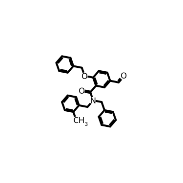 Cc1ccccc1CN(Cc1ccccc1)C(=O)c1cc(C=O)ccc1OCc1ccccc1